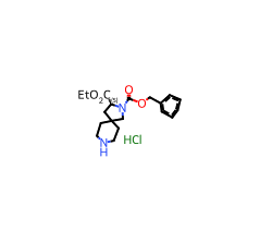 CCOC(=O)[C@@H]1CC2(CCNCC2)CN1C(=O)OCc1ccccc1.Cl